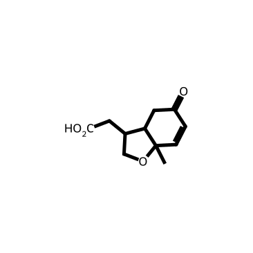 CC12C=CC(=O)CC1C(CC(=O)O)CO2